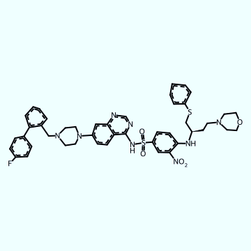 O=[N+]([O-])c1cc(S(=O)(=O)Nc2ncnc3cc(N4CCN(Cc5ccccc5-c5ccc(F)cc5)CC4)ccc23)ccc1N[C@H](CCN1CCOCC1)CSc1ccccc1